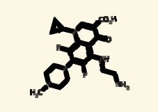 CN1CCN(c2c(F)c(NCCN)c3c(=O)c(C(=O)O)cn(C4CC4)c3c2F)CC1